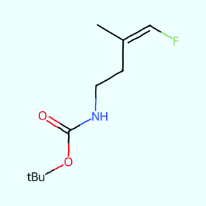 C/C(=C/F)CCNC(=O)OC(C)(C)C